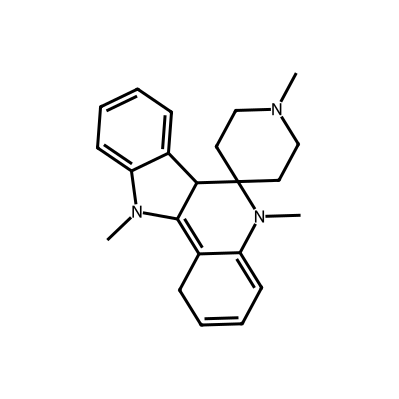 CN1CCC2(CC1)C1C(=C3CC=CC=C3N2C)N(C)c2ccccc21